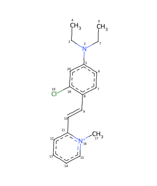 CCN(CC)c1ccc(/C=C/c2cccc[n+]2C)c(Cl)c1